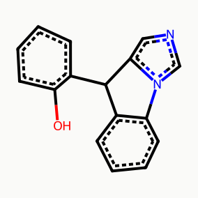 Oc1ccccc1C1c2ccccc2-n2cncc21